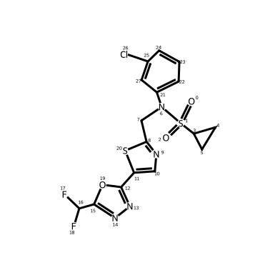 O=S(=O)(C1CC1)N(Cc1ncc(-c2nnc(C(F)F)o2)s1)c1cccc(Cl)c1